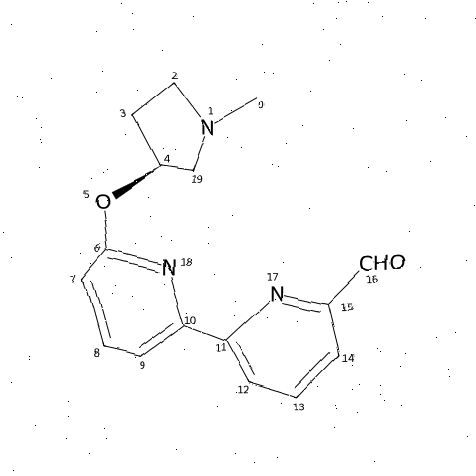 CN1CC[C@H](Oc2cccc(-c3cccc(C=O)n3)n2)C1